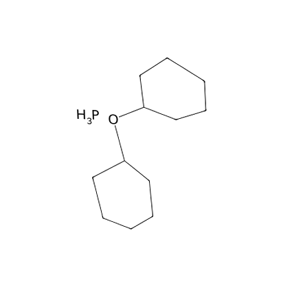 C1CCC(OC2CCCCC2)CC1.P